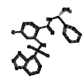 C[C@@H](NC(=O)c1ccc(Cl)cc1NS(=O)(=O)c1cccc2nsnc12)c1ccccc1